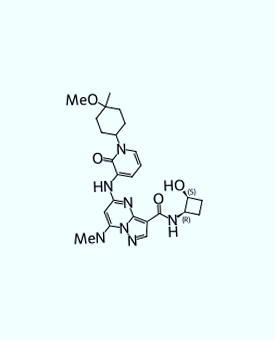 CNc1cc(Nc2cccn(C3CCC(C)(OC)CC3)c2=O)nc2c(C(=O)N[C@@H]3CC[C@@H]3O)cnn12